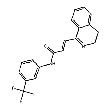 O=C(C=CC1=NCCc2ccccc21)Nc1cccc(C(F)(F)F)c1